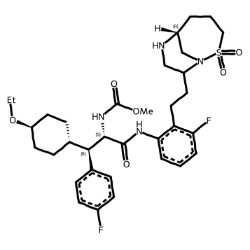 CCO[C@H]1CC[C@H]([C@H](c2ccc(F)cc2)[C@H](NC(=O)OC)C(=O)Nc2cccc(F)c2CCC2CN[C@@H]3CCCS(=O)(=O)N2C3)CC1